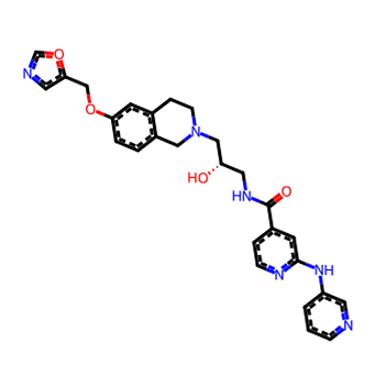 O=C(NC[C@H](O)CN1CCc2cc(OCc3cnco3)ccc2C1)c1ccnc(Nc2cccnc2)c1